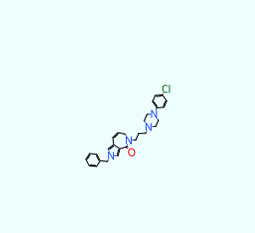 O=C1c2cn(Cc3ccccc3)cc2C=CCN1CCCN1CCN(c2ccc(Cl)cc2)CC1